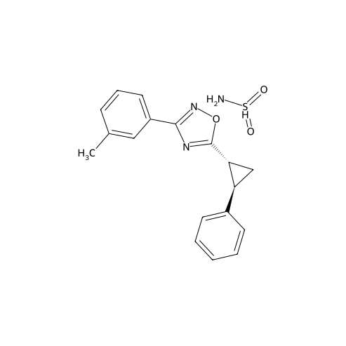 Cc1cccc(-c2noc([C@@H]3C[C@H]3c3ccccc3)n2)c1.N[SH](=O)=O